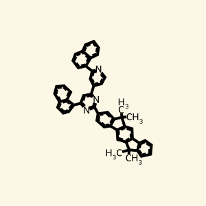 CC1(C)c2ccccc2-c2cc3c(cc21)-c1ccc(-c2nc(-c4ccnc(-c5cccc6ccccc56)c4)cc(-c4cccc5ccccc45)n2)cc1C3(C)C